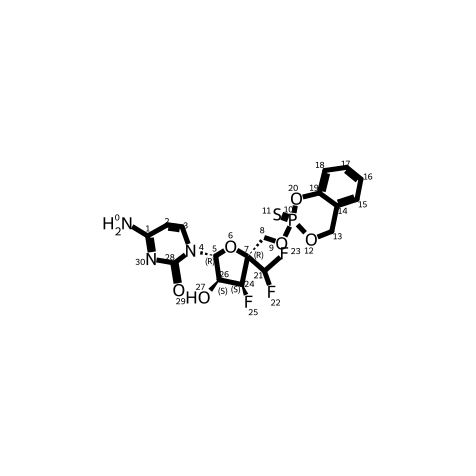 Nc1ccn([C@@H]2O[C@@](COP3(=S)OCc4ccccc4O3)(C(F)F)[C@@H](F)[C@H]2O)c(=O)n1